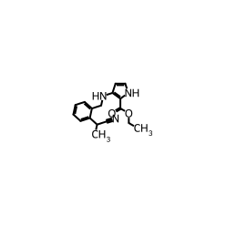 CCOC(=O)c1[nH]ccc1NCc1ccccc1C(C)C#N